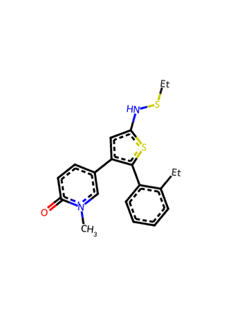 CCSNc1cc(-c2ccc(=O)n(C)c2)c(-c2ccccc2CC)s1